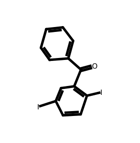 O=C(c1ccccc1)c1cc(I)ccc1I